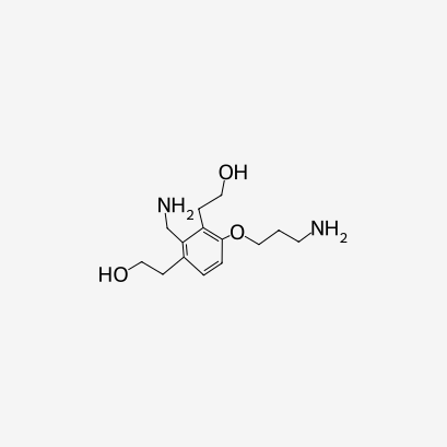 NCCCOc1ccc(CCO)c(CN)c1CCO